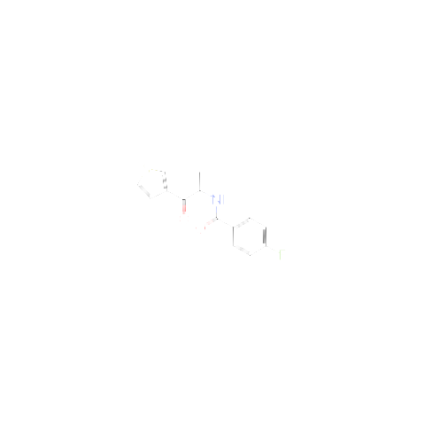 CC(NC(=O)c1ccc(F)cc1)C(=O)c1ccsc1